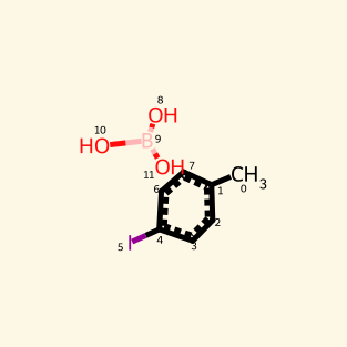 Cc1ccc(I)cc1.OB(O)O